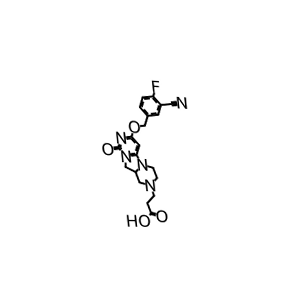 N#Cc1cc(COc2cc3n(c(=O)n2)CC2CN(CCC(=O)O)CCN32)ccc1F